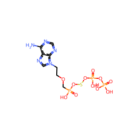 Nc1ncnc2c1ncn2CCOCP(=O)(O)OSOP(=O)(O)OP(=O)(O)O